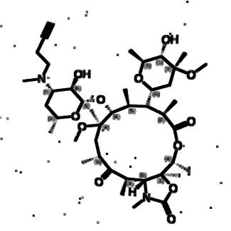 C#CCCN(C)[C@H]1C[C@@H](C)O[C@@H](O[C@@H]2[C@@H](C)C([C@H]3C[C@@](C)(OC)[C@@H](O)[C@H](C)O3)[C@@H](C)C(=O)O[C@H](I)[C@@]3(C)OC(=O)N(C)[C@@H]3[C@@H](C)C(=O)[C@H](C)C[C@@]2(C)OC)[C@@H]1O